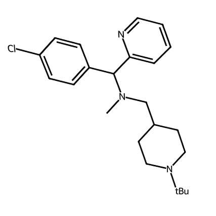 CN(CC1CCN(C(C)(C)C)CC1)C(c1ccc(Cl)cc1)c1ccccn1